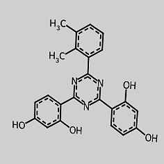 Cc1cccc(-c2nc(-c3ccc(O)cc3O)nc(-c3ccc(O)cc3O)n2)c1C